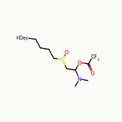 CCCCCCCCCCCCCC[S+]([O-])CC(OC(=O)C(F)(F)F)N(C)C